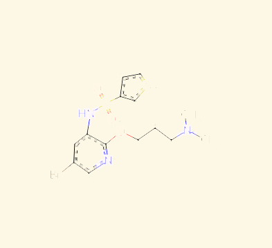 CN(C)CCCOc1ncc(Br)cc1NS(=O)(=O)c1ccsc1